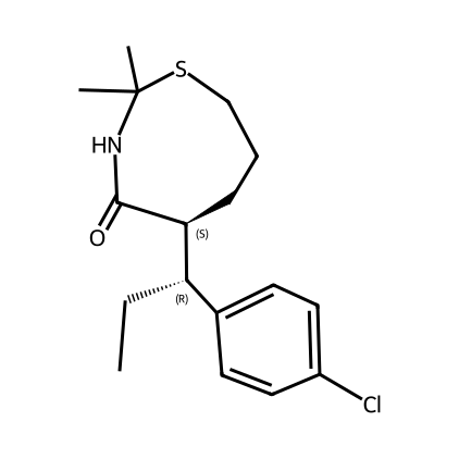 CC[C@@H](c1ccc(Cl)cc1)[C@@H]1CCCSC(C)(C)NC1=O